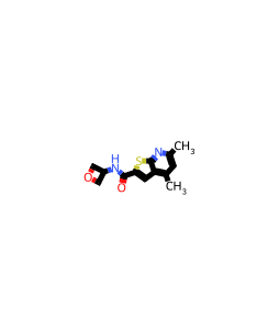 Cc1cc(C)c2cc(C(=O)NC3COC3)sc2n1